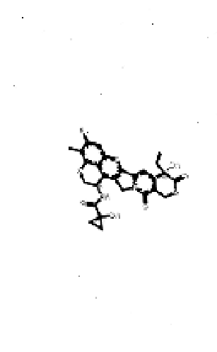 CC[C@@]1(O)C(=O)OCc2c1cc1n(c2=O)Cc2c-1nc1cc(F)c(C)c3c1c2[C@@H](NC(=O)C1(O)CC1)CS3